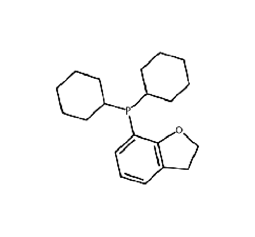 c1cc2c(c(P(C3CCCCC3)C3CCCCC3)c1)OCC2